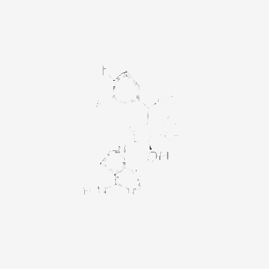 C[C@]1(C(F)(F)F)C([C@H](O)c2ccc(F)c(F)c2)O[C@@H](n2ccc3c(N)ncnc32)[C@@H]1O